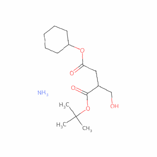 CC(C)(C)OC(=O)C(CO)CC(=O)OC1CCCCC1.N